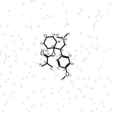 COc1ccc(C(CN(C)C)C2(OC(=O)C(C)C)CCCCC2)cc1